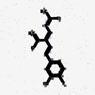 C=C(Cl)C(=C\N=C(\C)CC)/C=C/c1ccc(F)c(O)c1